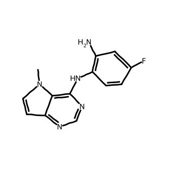 Cn1ccc2ncnc(Nc3ccc(F)cc3N)c21